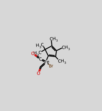 CC1=C(C)C(C)(C)[C]([Fe]([Br])(=[C]=O)=[C]=O)=C1C